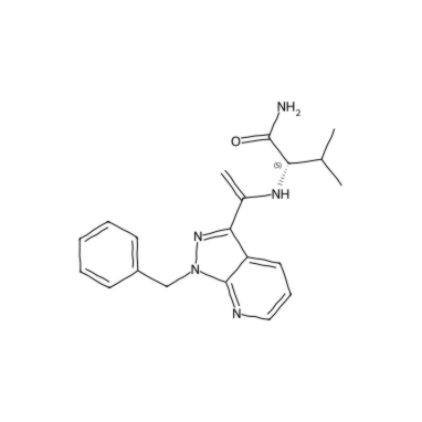 C=C(N[C@H](C(N)=O)C(C)C)c1nn(Cc2ccccc2)c2ncccc12